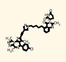 Cc1c(C#Cc2cnn(CCCCCc3cccc4nc(C)n([C@H]5CCC(=O)NC5=O)c(=O)c34)c2)sc2c1C(c1ccc(Cl)cc1)=N[C@@H](C)c1nnc(C)n1-2